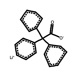 O=C([O-])C(c1ccccc1)(c1ccccc1)c1ccccc1.[Li+]